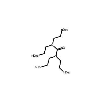 CCCCCCCCCCCCN(CCCCCCCCCCCC)C(=O)N(CCCCCCCCCCCC)CCCCCCCCCCCC